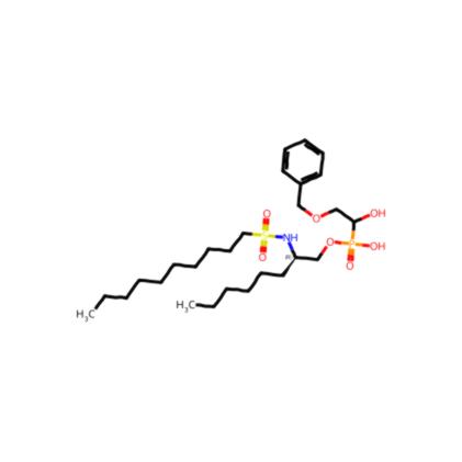 CCCCCCCCCCS(=O)(=O)N[C@H](CCCCCC)COP(=O)(O)C(O)COCc1ccccc1